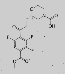 COC(=O)c1cc(F)c(C(=O)CC[C@H]2CN(C(=O)O)CCO2)c(F)c1F